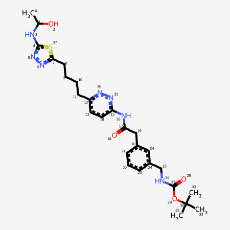 CC(O)Nc1nnc(CCCCc2ccc(NC(=O)Cc3cccc(CNC(=O)OC(C)(C)C)c3)nn2)s1